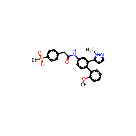 CCS(=O)(=O)c1ccc(CC(=O)Nc2ccc(-c3ccccc3OC(F)(F)F)c(-c3ccnn3C)c2)cc1